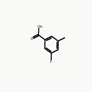 Cc1cc(F)cc(C(=O)O)c1